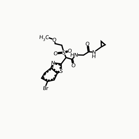 COCCS(=O)(=O)C(C(=O)NCC(=O)NC1CC1)c1nc2ccc(Br)cc2s1